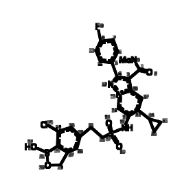 CNC(=O)c1c(-c2ccc(F)cc2)nn2cc(NS(=O)(=O)CCc3cc(Cl)c4c(c3)COB4O)c(C3CC3)cc12